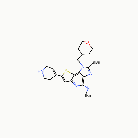 CCCCc1nc2c(NC(C)(C)C)nc3cc(C4=CCNCC4)sc3c2n1CC1CCOCC1